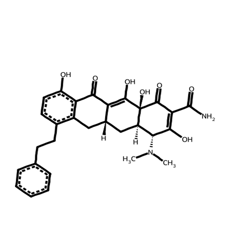 CN(C)[C@H]1C(O)=C(C(N)=O)C(=O)[C@@]2(O)C(O)=C3C(=O)c4c(O)ccc(CCc5ccccc5)c4C[C@H]3C[C@H]12